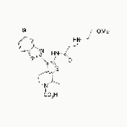 COCCNCCC(=O)Nc1sc2c(c1-c1nc3cc(Br)ccc3s1)CCN(C(=O)O)C2C